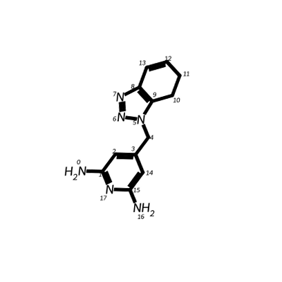 Nc1cc(Cn2nnc3c2CCC=C3)cc(N)n1